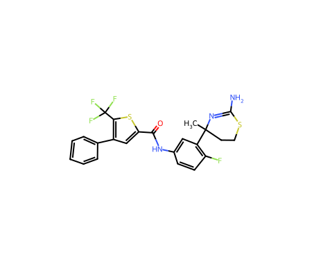 CC1(c2cc(NC(=O)c3cc(-c4ccccc4)c(C(F)(F)F)s3)ccc2F)CCSC(N)=N1